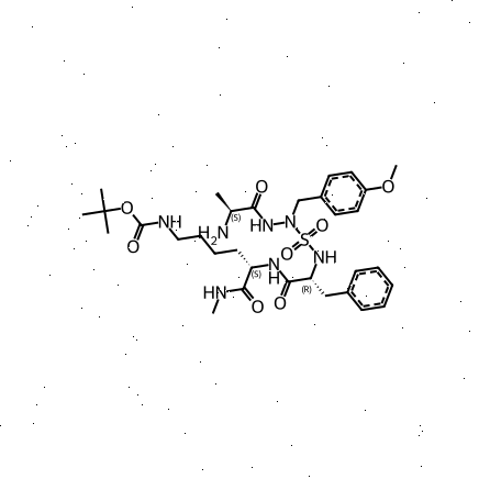 CNC(=O)[C@H](CCCCNC(=O)OC(C)(C)C)NC(=O)[C@@H](Cc1ccccc1)NS(=O)(=O)N(Cc1ccc(OC)cc1)NC(=O)[C@H](C)N